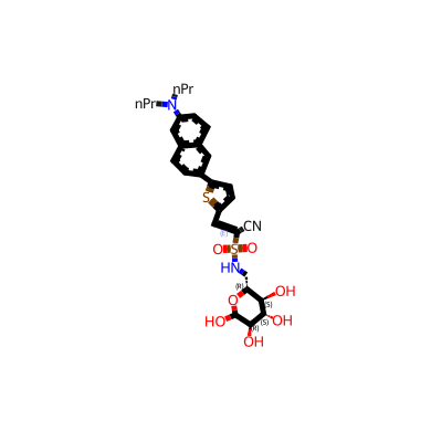 CCCN(CCC)c1ccc2cc(-c3ccc(/C=C(\C#N)S(=O)(=O)NC[C@H]4OC(O)[C@H](O)[C@@H](O)[C@@H]4O)s3)ccc2c1